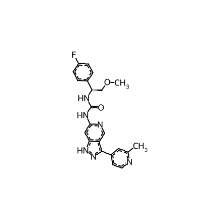 COC[C@@H](NC(=O)Nc1cc2[nH]nc(-c3ccnc(C)c3)c2cn1)c1ccc(F)cc1